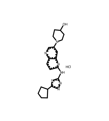 Cl.OC1CCN(c2cnc3ccc(Nc4nnc(C5CCCC5)s4)nc3c2)CC1